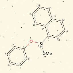 CO[SiH](Oc1ccccc1)c1cccc2ccccc12